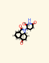 O=C1CCC(N2C(=O)c3cccc4c3C2CCC4=O)C(=O)N1